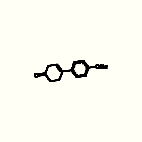 COc1ccc(C2=CCC(=O)CC2)cc1